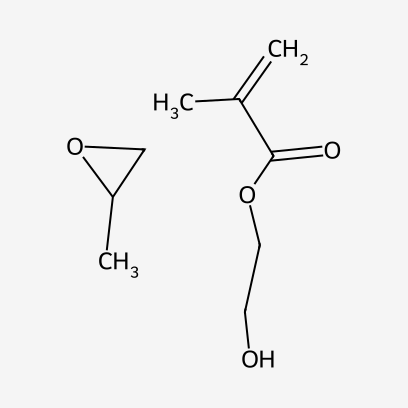 C=C(C)C(=O)OCCO.CC1CO1